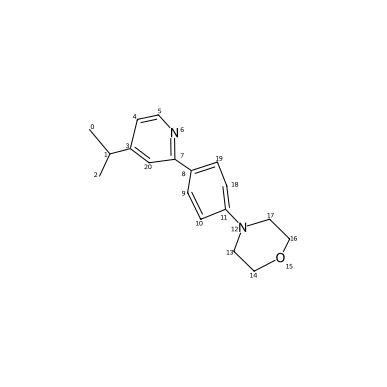 CC(C)c1ccnc(-c2ccc(N3CCOCC3)cc2)c1